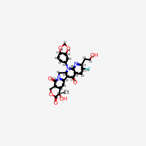 CC[C@@]1(O)C(=O)OCc2c1cc1n(c2=O)Cc2c-1c(=O)c1cc(F)c(CCO)nc1n2-c1ccc2c(c1)OCO2